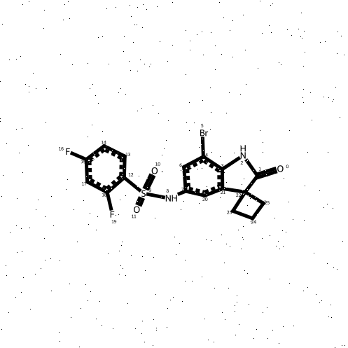 O=C1Nc2c(Br)cc(NS(=O)(=O)c3ccc(F)cc3F)cc2C12CCC2